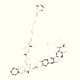 CC[C@@]1(O)C(=O)OCc2c1cc1n(c2=O)Cc2cc3cc(NC(=O)CNC(=O)C(Cc4ccccc4)NC(=O)CNC(=O)CNC(=O)CCOCCOCCOCCN4C(=O)C=CC4=O)c(F)cc3nc2-1